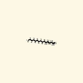 [CH2]CCCCCCCCCCC=CCC=C